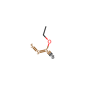 B#S(OCC)=S=S